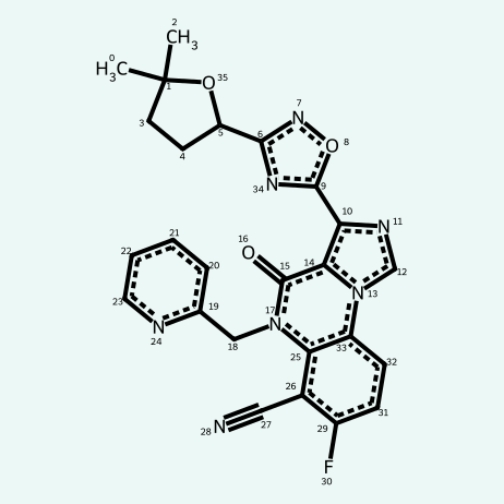 CC1(C)CCC(c2noc(-c3ncn4c3c(=O)n(Cc3ccccn3)c3c(C#N)c(F)ccc34)n2)O1